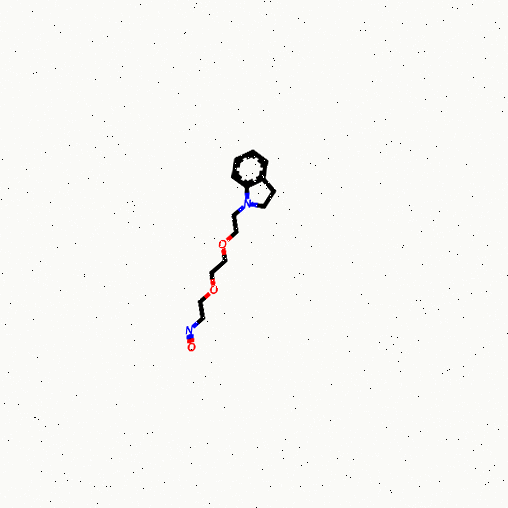 O=NCCOCCOCCN1CCc2ccccc21